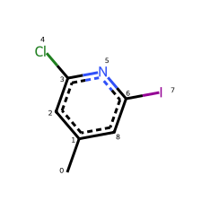 Cc1cc(Cl)nc(I)c1